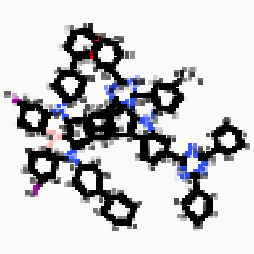 FC(F)(F)c1ccc(-n2c3ccc(-c4cc5c6c(c4)N(c4ccc(-c7ccccc7)cc4)c4cc(I)ccc4B6c4ccc(I)cc4N5c4ccc(-c5ccccc5)cc4)cc3c3ccc(-c4nc(-c5ccccc5)nc(-c5ccccc5)n4)cc32)c(-c2nc(-c3ccccc3)nc(-c3ccccc3)n2)c1